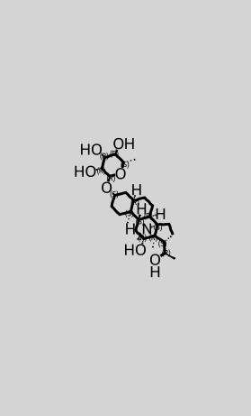 C[C@@H]1O[C@@H](O[C@H]2CC[C@@]3(C)[C@H](CC[C@@H]4[C@@H]3C[C@@H](O)[C@]3(C)[C@@H]([C@@H](C)O)CC[C@]43N)C2)[C@H](O)[C@H](O)[C@H]1O